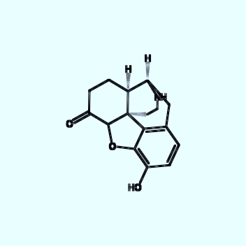 O=C1CC[C@H]2[C@H]3Cc4ccc(O)c5c4[C@@]2(CCN3)C1O5